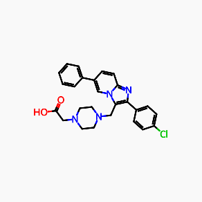 O=C(O)CN1CCN(Cc2c(-c3ccc(Cl)cc3)nc3ccc(-c4ccccc4)cn23)CC1